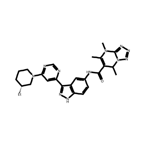 CC[C@@H]1CCCN(c2cc(-c3n[nH]c4ccc(NC(=O)C5=C(C)N(C)c6nnnn6C5C)cc34)ncn2)C1